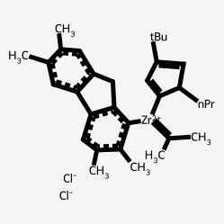 CCCC1C=C(C(C)(C)C)C=[C]1[Zr+2](=[C](C)C)[c]1c(C)c(C)cc2c1Cc1cc(C)c(C)cc1-2.[Cl-].[Cl-]